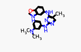 Cc1cnc(Nc2cccc(N(C)C)c2)nc1Nc1ccc2c(c1)NCO2